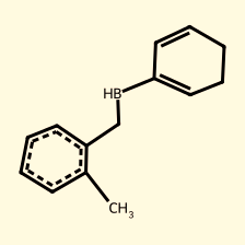 Cc1ccccc1CBC1=CCCC=C1